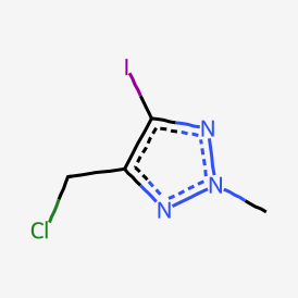 Cn1nc(I)c(CCl)n1